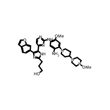 COc1cc(N2CCC(N3CCN(OC)CC3)CC2)c(N)cc1Nc1nccc(-c2[nH]c(CCCO)nc2-c2ccc3ccoc3c2)n1